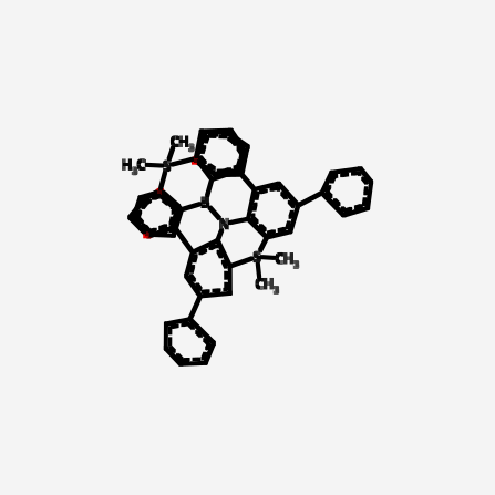 CS1(C)c2ccccc2B(N2c3c(-c4ccccc4)cc(-c4ccccc4)cc3S(C)(C)c3cc(-c4ccccc4)cc(-c4ccccc4)c32)c2ccccc21